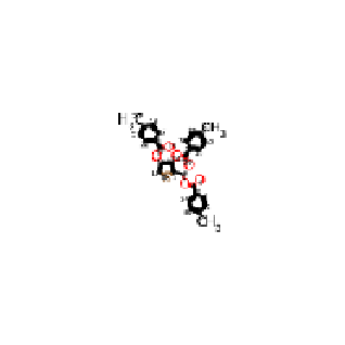 Cc1ccc(C(=O)OC[C@H]2SC[C@H](OC(=O)c3ccc(C)cc3)[C@H]2OC(=O)c2ccc(C)cc2)cc1